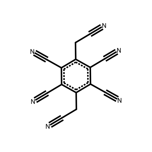 N#CCc1c(C#N)c(C#N)c(CC#N)c(C#N)c1C#N